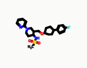 CS(=O)(=O)NC1CCN(c2ccccn2)CC1COC1CCC(c2ccc(F)cc2)CC1